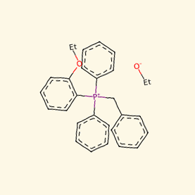 CCOc1ccccc1[P+](Cc1ccccc1)(c1ccccc1)c1ccccc1.CC[O-]